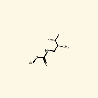 CC(CNC(=O)OC(C)(C)C)C(F)F